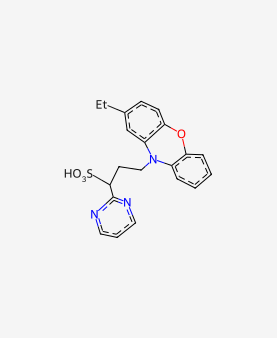 CCc1ccc2c(c1)N(CCC(c1ncccn1)S(=O)(=O)O)c1ccccc1O2